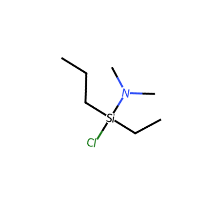 CCC[Si](Cl)(CC)N(C)C